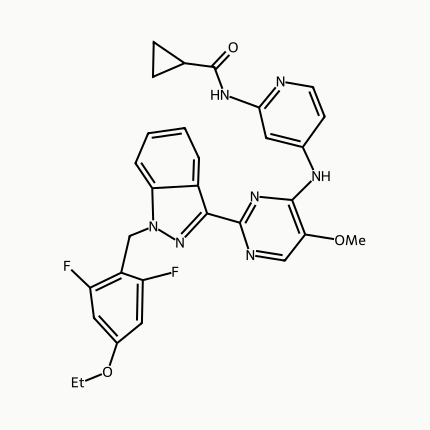 CCOc1cc(F)c(Cn2nc(-c3ncc(OC)c(Nc4ccnc(NC(=O)C5CC5)c4)n3)c3ccccc32)c(F)c1